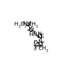 CN/C=C(\C)c1ccc(CNc2cc(N3CC[C@@](C)(C4CC4)C3=O)ccn2)s1